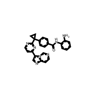 Nc1ccccc1NC(=O)c1ccc(C2(c3nccc(-c4cnc5ccncn45)n3)CC2)cc1